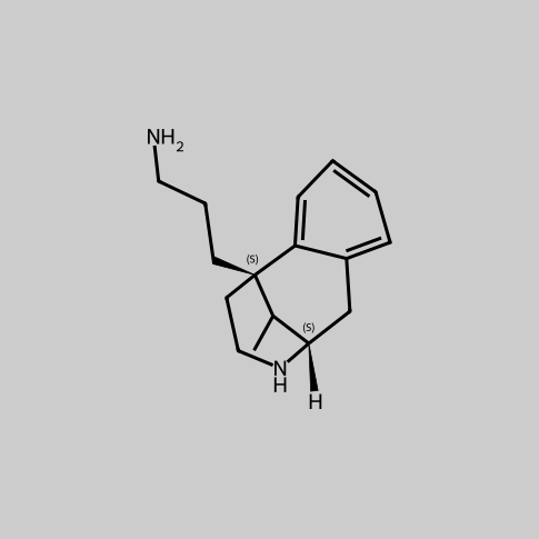 CC1[C@@H]2Cc3ccccc3[C@@]1(CCCN)CCN2